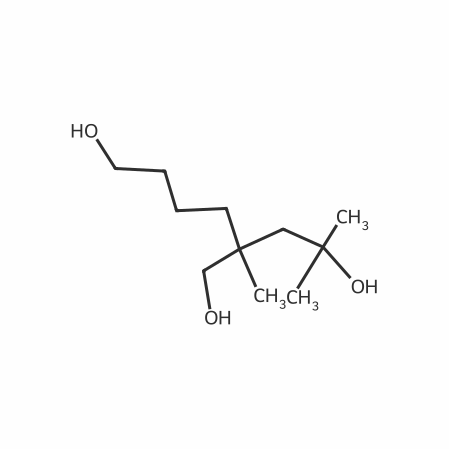 CC(C)(O)CC(C)(CO)CCCCO